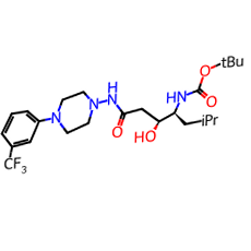 CC(C)C[C@H](NC(=O)OC(C)(C)C)[C@@H](O)CC(=O)NN1CCN(c2cccc(C(F)(F)F)c2)CC1